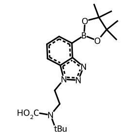 CC(C)(C)N(CCn1nnc2c(B3OC(C)(C)C(C)(C)O3)cccc21)C(=O)O